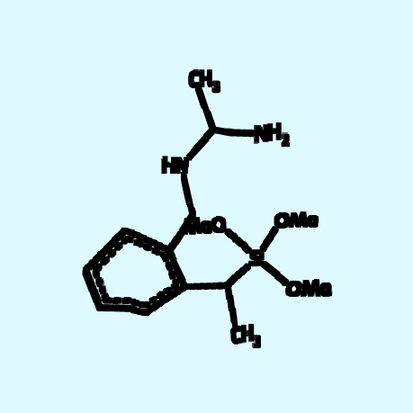 CO[Si](OC)(OC)C(C)c1ccccc1CNC(C)N